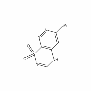 CC(C)c1cc2c(nn1)S(=O)(=O)N=CN2